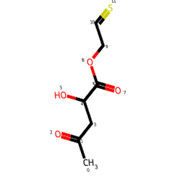 CC(=O)CC(O)C(=O)OCC=S